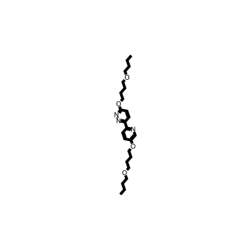 CCCCOCCCCOc1ccc(-c2ccc(OCCCCOCCCC)nn2)nc1